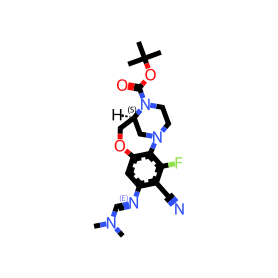 CN(C)/C=N/c1cc2c(c(F)c1C#N)N1CCN(C(=O)OC(C)(C)C)[C@H](CO2)C1